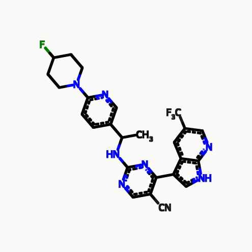 CC(Nc1ncc(C#N)c(-c2c[nH]c3ncc(C(F)(F)F)cc23)n1)c1ccc(N2CCC(F)CC2)nc1